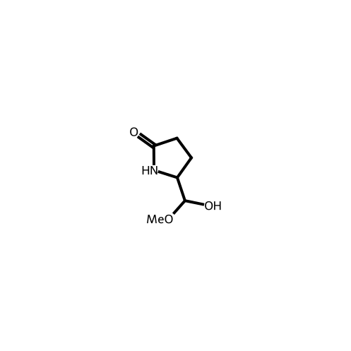 COC(O)C1CCC(=O)N1